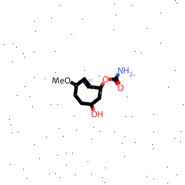 COC1/C=C/C(OC(N)=O)CC(O)CC1